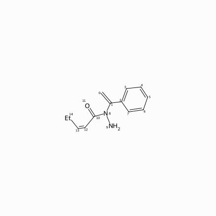 C=C(c1ccccc1)N(N)C(=O)/C=C\CC